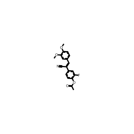 COc1ccc(C=C(C#N)c2ccc(OC(C)=O)c(F)c2)cc1OC